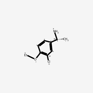 CCOc1ccc([C@@H](C)N)cc1Cl